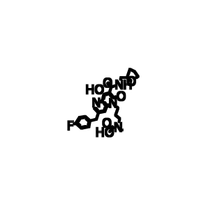 CN(CCCn1c(=O)c(C(=O)NCC2CCCO2)c(O)c2ncc(Cc3ccc(F)cc3)cc21)C(=O)O